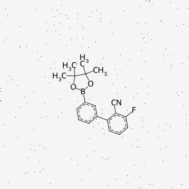 CC1(C)OB(c2cccc(-c3cccc(F)c3C#N)c2)OC1(C)C